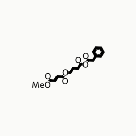 COC(=O)/C=C/C(=O)OCCCC(=O)OC(=O)Cc1ccccc1